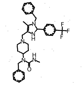 CNC(=O)N(Cc1ccccc1)C1CCN(CC2=C(C)N(Cc3ccccc3)C(c3ccc(C(F)(F)F)cc3)N2)CC1